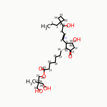 CCCC1(C(O)C/C=C/C2[C@H](O)CC(=O)[C@@H]2CCCCCCC(=O)OCC(C)(CO)CO)CCC1